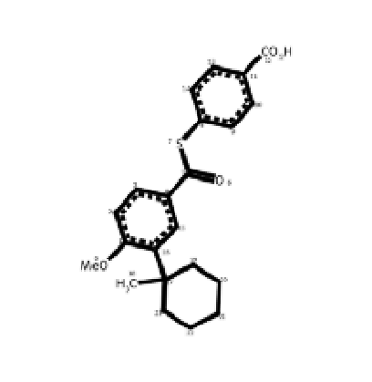 COc1ccc(C(=O)Sc2ccc(C(=O)O)cc2)cc1C1(C)CCCCC1